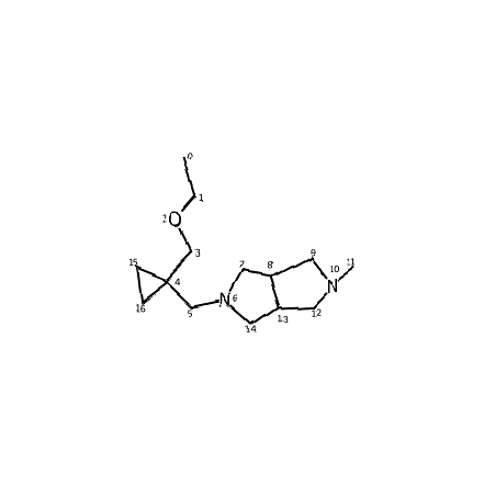 CCOCC1(CN2CC3CN(C)CC3C2)CC1